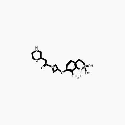 O=C(O)c1c(OC2CN(C(=O)CC3CNCCO3)C2)ccc2c1O[B-](O)(O)CC2